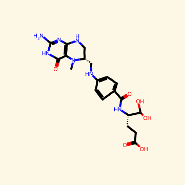 CN1c2c(nc(N)[nH]c2=O)NC[C@@H]1CNc1ccc(C(=O)N[C@@H](CCC(=O)O)C(O)O)cc1